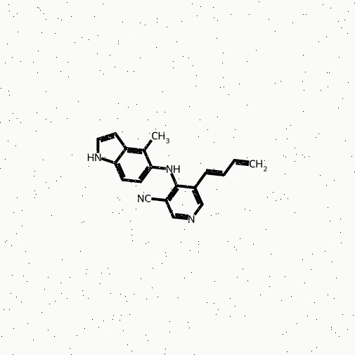 C=C/C=C/c1cncc(C#N)c1Nc1ccc2[nH]ccc2c1C